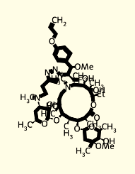 C=CCOc1ccc([C@@H](OC)[C@@H](CF)n2cc(CCN(C)[C@H]3C[C@@H](C)O[C@@H](O[C@@H]4[C@@H](C)[C@H](O[C@H]5C[C@@](C)(OC)[C@@H](O)[C@H](C)O5)[C@@H](C)C(=O)O[C@H](CC)[C@@](C)(O)[C@H](O)[C@@H](C)N(C)CC[C@@]4(C)O)[C@@H]3O)nn2)cc1